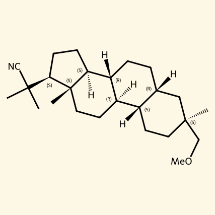 COC[C@@]1(C)CC[C@H]2[C@H](CC[C@@H]3[C@@H]2CC[C@]2(C)[C@@H](C(C)(C)C#N)CC[C@@H]32)C1